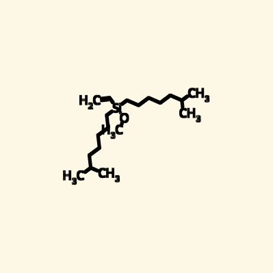 C=C[Si](CCCCCC(C)C)(CCCCCC(C)C)OC